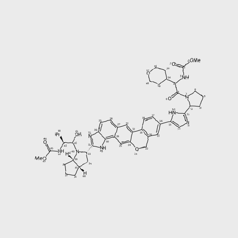 COC(=O)NC(C(=O)N1CCCC1c1ncc(-c2ccc3c(c2)COc2cc4c(ccc5nc([C@@H]6C[C@@H]7CCC[C@@H]7N6C(O)[C@@H](NC(=O)OC)C(C)C)[nH]c54)cc2-3)[nH]1)C1CCOCC1